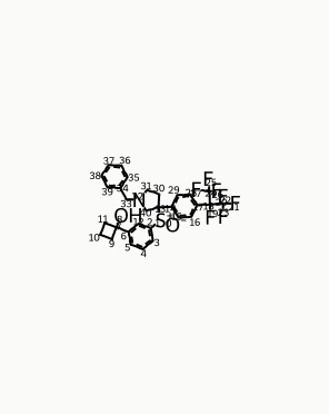 [O-][S+](c1cccc(C2(O)CCC2)c1)C1(c2ccc(C(F)(C(F)(F)F)C(F)(F)F)cc2)CCN(Cc2ccccc2)C1